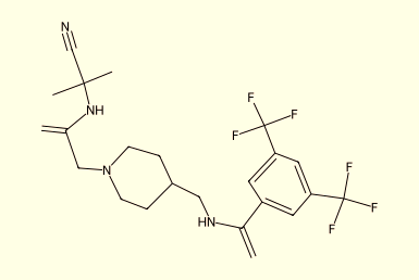 C=C(CN1CCC(CNC(=C)c2cc(C(F)(F)F)cc(C(F)(F)F)c2)CC1)NC(C)(C)C#N